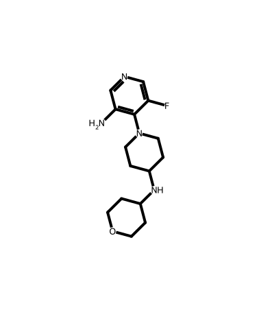 Nc1cncc(F)c1N1CCC(NC2CCOCC2)CC1